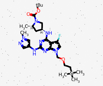 C[C@H]1C[C@@H](Nc2nc(Nc3cnn(C)c3)nc3c2c(F)cn3COCC[Si](C)(C)C)CN1C(=O)OC(C)(C)C